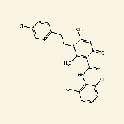 Cc1cc(=O)c(C(=O)Nc2c(Cl)cccc2Cl)c(C)n1CCc1ccc(Cl)cc1